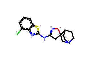 Clc1cccc2sc(NC3=NOC4(C3)CN3CCC4CC3)nc12